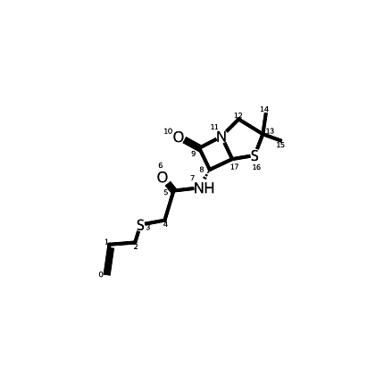 C=CCSCC(=O)N[C@@H]1C(=O)N2CC(C)(C)SC12